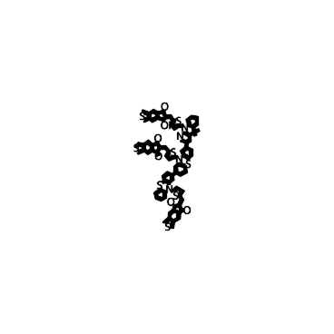 CC1(C)c2ccccc2N(c2ccc(/C=C3/C(=O)c4cc5cscc5cc4C3O)s2)c2ncc(-c3ccc4c(c3)N(c3ccc(C=C5C(=O)c6cc7cscc7cc6C5=O)s3)c3cc(-c5ccc6c(c5)N(c5ccc(C=C7C(=O)c8cc9cscc9cc8C7=O)s5)c5ccccc5S6)ccc3S4)cc21